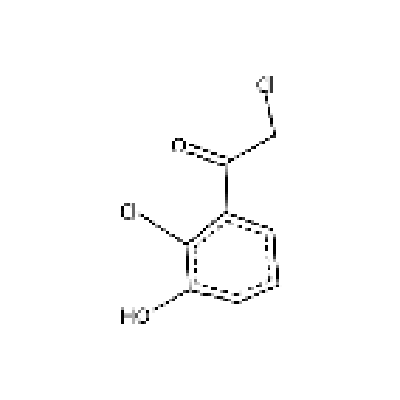 O=C(CCl)c1cccc(O)c1Cl